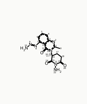 Cc1nc2cccc(N=NN)c2c(=O)n1[C@@]1(C)CCC(=O)N(N)C1=O